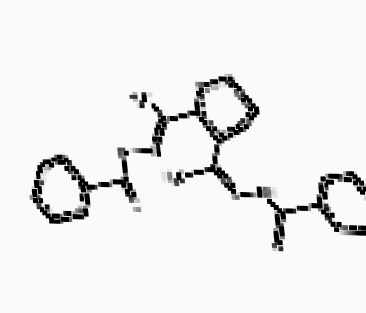 CC(=NNC(=O)c1ccccc1)c1cccnc1C(C)=NNC(=O)c1ccccc1